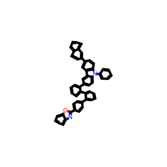 c1ccc(-n2c3ccc(-c4ccc5ccccc5c4)cc3c3cc(-c4ccccc4-c4ccccc4-c4ccc(-c5nc6ccccc6o5)cc4)ccc32)cc1